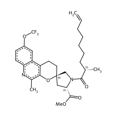 C=CCCCCC[C@H](C)C(=O)N1C[C@@]2(CCc3c(c(C)nc4ccc(OC(F)(F)F)cc34)O2)C[C@H]1C(=O)OC